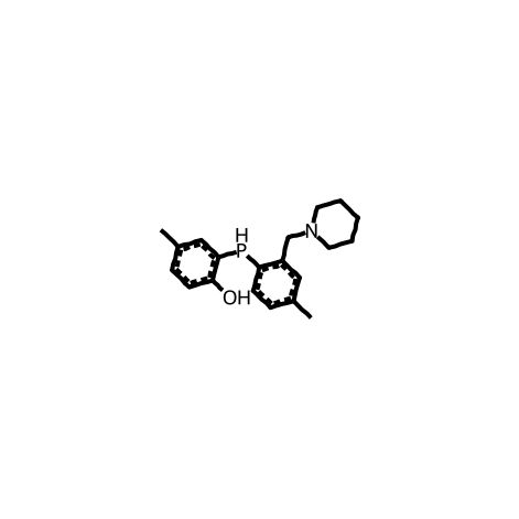 Cc1ccc(Pc2cc(C)ccc2O)c(CN2CCCCC2)c1